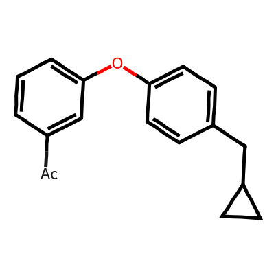 CC(=O)c1cccc(Oc2ccc(CC3CC3)cc2)c1